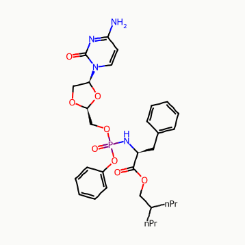 CCCC(CCC)COC(=O)[C@H](Cc1ccccc1)NP(=O)(OC[C@H]1OC[C@@H](n2ccc(N)nc2=O)O1)Oc1ccccc1